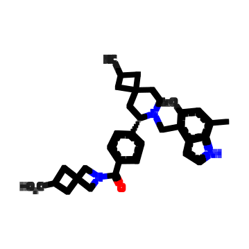 COc1cc(C)c2[nH]ccc2c1CN1CCC2(CC(C#N)C2)C[C@H]1c1ccc(C(=O)N2CC3(CC(C(=O)O)C3)C2)cc1